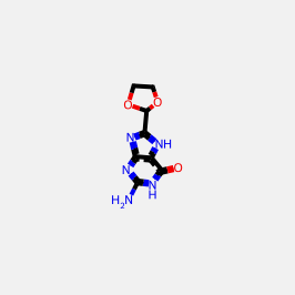 Nc1nc2nc(C3OCCO3)[nH]c2c(=O)[nH]1